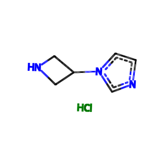 Cl.c1cn(C2CNC2)cn1